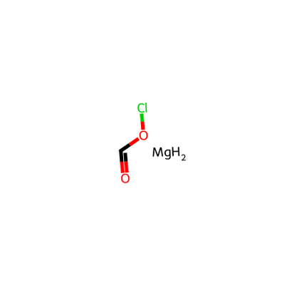 O=COCl.[MgH2]